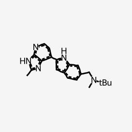 Cc1nc2c(-c3cc4ccc(CN(C)C(C)(C)C)cc4[nH]3)ccnc2[nH]1